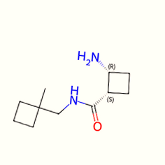 CC1(CNC(=O)[C@H]2CC[C@H]2N)CCC1